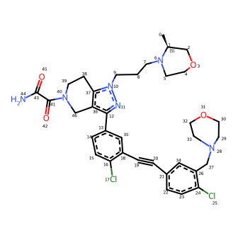 C[C@H]1COCCN1CCCn1nc(-c2ccc(Cl)c(C#Cc3ccc(Cl)c(CN4CCOCC4)c3)c2)c2c1CCN(C(=O)C(N)=O)C2